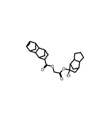 CCC1(OC(=O)COC(=O)C2CC3CC2C2C4C=CC(C4)C32)CC2CC1C1CCCC21